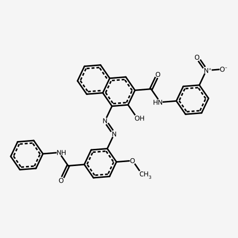 COc1ccc(C(=O)Nc2ccccc2)cc1/N=N/c1c(O)c(C(=O)Nc2cccc([N+](=O)[O-])c2)cc2ccccc12